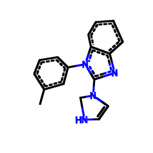 Cc1cccc(-n2c(N3C=CNC3)nc3ccccc32)c1